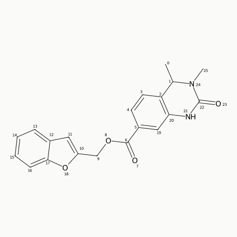 CC1c2ccc(C(=O)OCc3cc4ccccc4o3)cc2NC(=O)N1C